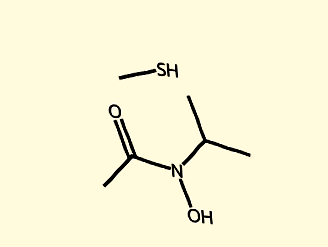 CC(=O)N(O)C(C)C.CS